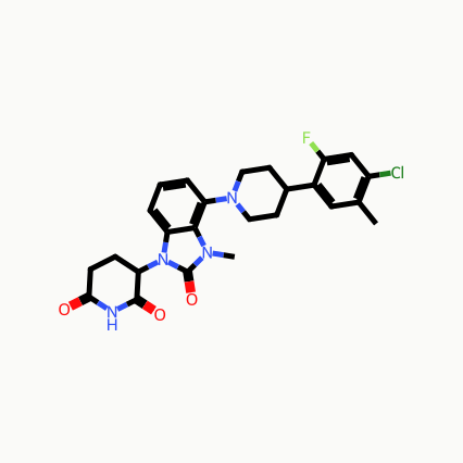 Cc1cc(C2CCN(c3cccc4c3n(C)c(=O)n4C3CCC(=O)NC3=O)CC2)c(F)cc1Cl